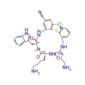 CN1C(=O)[C@H](CCCCN)NC(=O)[C@H](CCCN)NCc2cccnc2Sc2c(Cl)cc(C#N)cc2CNC(=O)[C@@H]1Cc1c[nH]c2ccccc12